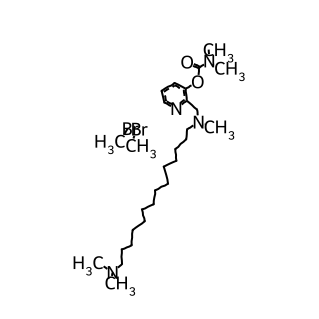 CBr.CBr.CN(C)CCCCCCCCCCCCCCN(C)Cc1ncccc1OC(=O)N(C)C